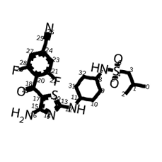 CC(C)CS(=O)(=O)NC1CCC(Nc2nc(N)c(C(=O)c3c(F)cc(C#N)cc3F)s2)CC1